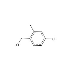 Cc1cc(Cl)ccc1C[O]